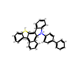 c1ccc(-c2ccc(-n3c4ccccc4c4c5sc6ccccc6c5c5ccccc5c43)cc2)cc1